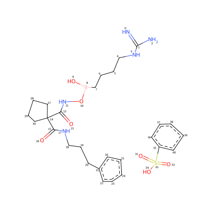 N=C(N)NCCCCB(O)ONC(=O)C1(C(=O)NCCCc2ccccc2)CCCC1.O=S(=O)(O)c1ccccc1